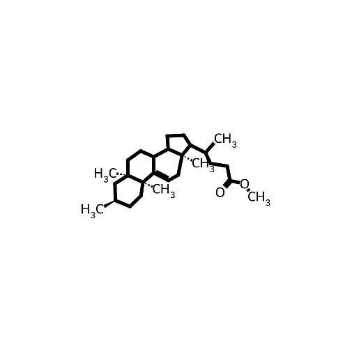 COC(=O)CCC(C)C1CCC2C3CC[C@]4(C)C[C@H](C)CC[C@]4(C)C3=CC[C@]12C